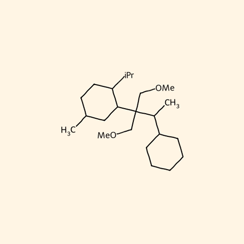 COCC(COC)(C(C)C1CCCCC1)C1CC(C)CCC1C(C)C